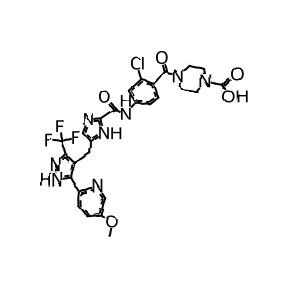 COc1ccc(-c2[nH]nc(C(F)(F)F)c2Cc2cnc(C(=O)Nc3ccc(C(=O)N4CCN(C(=O)O)CC4)c(Cl)c3)[nH]2)nc1